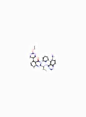 CCOc1ncc(-c2cccc3nc(C(CC)Nc4ncnc5ccc(C#N)cc45)n(-c4ccccc4)c(=O)c23)cn1